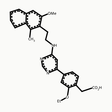 CCOc1cc(-c2cc(NCCc3c(OC)cc4ccccc4c3C)ncn2)ccc1CC(=O)O